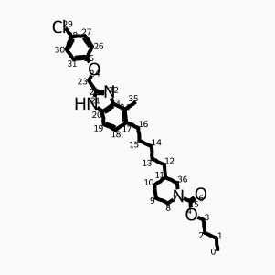 CCCCOC(=O)N1CCCC(CCCCCc2ccc3[nH]c(COc4ccc(Cl)cc4)nc3c2C)C1